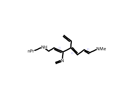 C=CC(=C\C=C\NC)/C(=C/CNCCC)N=C